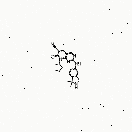 CC1(C)NCc2cc(Nc3ncc4cc(C#N)c(=O)n(C5CCCC5)c4n3)ccc21